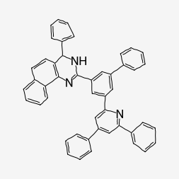 c1ccc(-c2cc(C3=Nc4c(ccc5ccccc45)C(c4ccccc4)N3)cc(-c3cc(-c4ccccc4)cc(-c4ccccc4)n3)c2)cc1